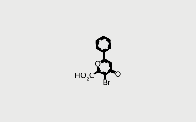 O=C(O)c1oc(-c2ccccc2)cc(=O)c1Br